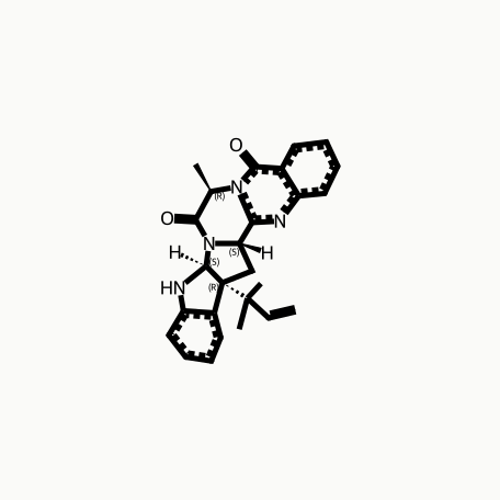 C=CC(C)(C)[C@@]12C[C@H]3c4nc5ccccc5c(=O)n4[C@H](C)C(=O)N3[C@@H]1Nc1ccccc12